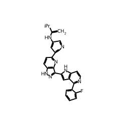 C=C(Nc1cncc(-c2ccc3[nH]nc(-c4cc5c(-c6ccccc6F)nccc5[nH]4)c3n2)c1)C(C)C